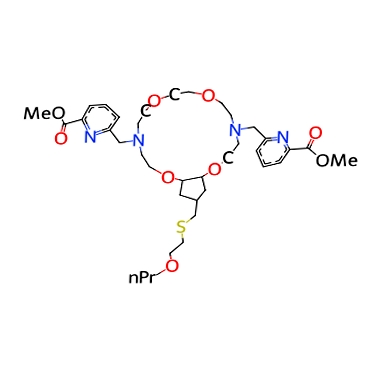 CCCOCCSCC1CC2OCCN(Cc3cccc(C(=O)OC)n3)CCOCCOCCN(Cc3cccc(C(=O)OC)n3)CCOC2C1